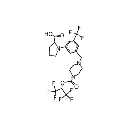 O=C(O)C1CCCN1c1cc(CN2CCN(C(=O)OC(C(F)(F)F)C(F)(F)F)CC2)cc(C(F)(F)F)c1